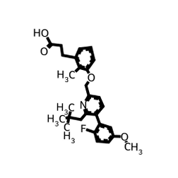 COc1ccc(F)c(-c2ccc(COc3cccc(CCC(=O)O)c3C)nc2CC(C)(C)C)c1